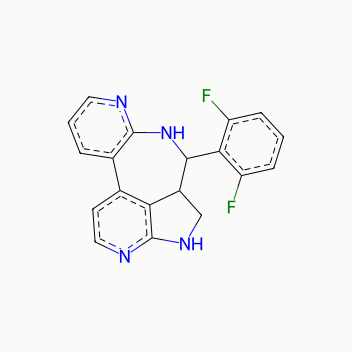 Fc1cccc(F)c1C1Nc2ncccc2-c2ccnc3c2C1CN3